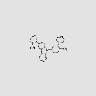 N#Cc1ccccc1-c1ccc2c(c1)c1ccccc1n2-c1ccc(C#N)c(-c2ccncc2)c1